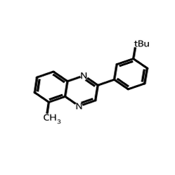 Cc1cccc2nc(-c3cccc(C(C)(C)C)c3)cnc12